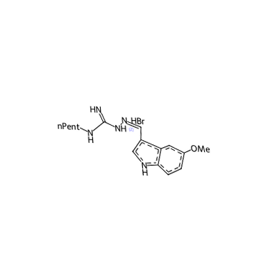 Br.CCCCCNC(=N)N/N=C\c1c[nH]c2ccc(OC)cc12